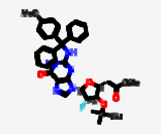 COC(=O)C[C@H]1O[C@@H](n2cnc3c(=O)[nH]c(NC(c4ccccc4)(c4ccccc4)c4ccc(OC)cc4)nc32)[C@@H](F)[C@@H]1O[Si](C)(C)C(C)(C)C